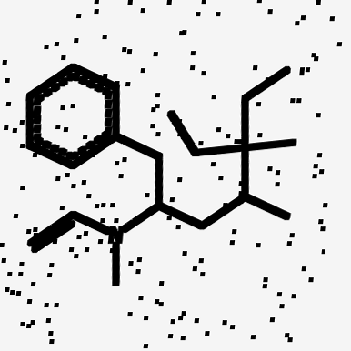 C=CN(C)C(Cc1ccccc1)CC(C)C(C)(CC)CC